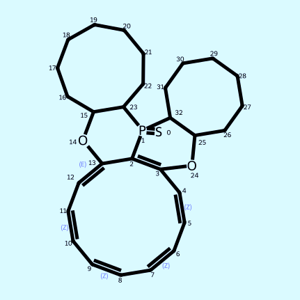 S=P12C3=C(\C=C/C=C\C=C/C=C\C=C3\OC3CCCCCCCC31)OC1CCCCCCC12